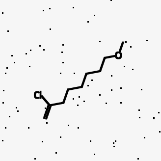 [CH2]OCCCCCCC(=C)Cl